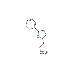 O=C(O)CCC1CCC(C2=CC=CCC2)O1